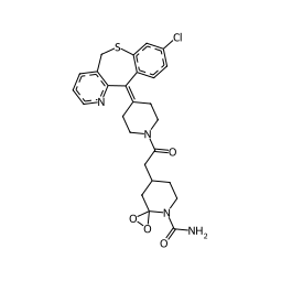 NC(=O)N1CCC(CC(=O)N2CCC(=C3c4ccc(Cl)cc4SCc4cccnc43)CC2)CC12OO2